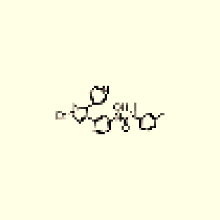 CCn1cc(-c2cccc(N(O)C(=O)Nc3cccc(C)c3)c2)c(-c2ccncc2)n1